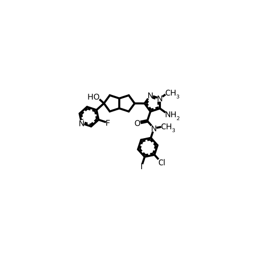 CN(C(=O)c1c(C2CC3CC(O)(c4ccncc4F)CC3C2)nn(C)c1N)c1ccc(I)c(Cl)c1